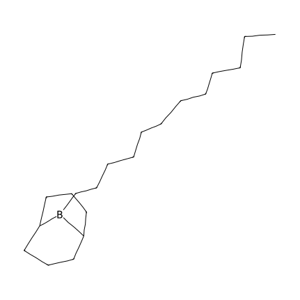 CCCCCCCCCCCCB1C2CCCC1CCC2